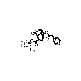 CC(C)(C)OC(=O)C1C2CC3C(OC(=O)C31)C2OC(=O)CN1CCOCC1